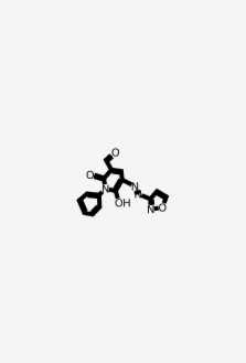 O=Cc1cc(N=Nc2ccon2)c(O)n(-c2ccccc2)c1=O